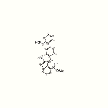 CCCCc1nc2cccc(C(=O)OC)c2n1Cc1ccc(-c2ccccc2CO)cc1